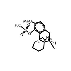 COc1ccc2c(c1OS(=O)(=O)C(F)(F)F)[C@]13CCCCC1[C@H](C2)N(C)CC3